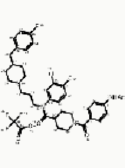 CC(=O)Nc1ccc(C(=O)N2CCC(C(=O)N(CCCN3CCC(Cc4ccc(F)cc4)CC3)c3ccc(Cl)c(Cl)c3)CC2)cc1.O=C(O)C(F)(F)F